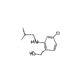 CC(C)CNc1cc(Cl)ccc1CO